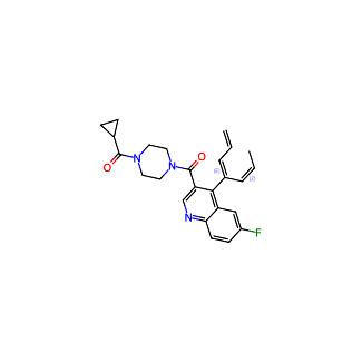 C=C/C=C(\C=C/C)c1c(C(=O)N2CCN(C(=O)C3CC3)CC2)cnc2ccc(F)cc12